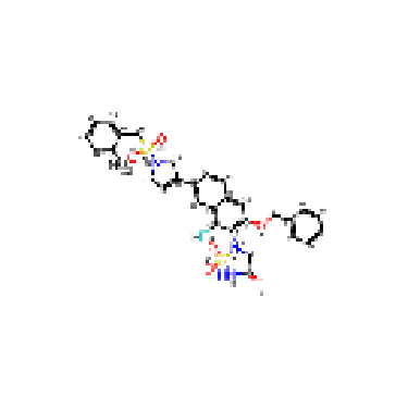 O=C1CN(c2c(OCc3ccccc3)cc3ccc(C4=CCN(S(=O)(=O)Cc5ccccc5[N+](=O)[O-])C4)cc3c2F)S(=O)(=O)N1